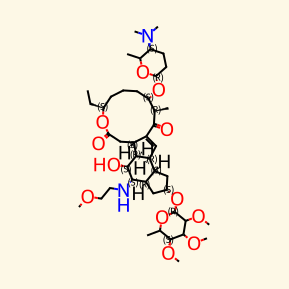 CC[C@H]1CCC[C@H](O[C@H]2CC[C@H](N(C)C)C(C)O2)[C@@H](C)C(=O)C2=C[C@H]3[C@@H]4C[C@H](O[C@@H]5OC(C)[C@H](OC)C(OC)C5OC)C[C@H]4[C@H](NCCOC)[C@@H](O)[C@H]3[C@@H]2CC(=O)O1